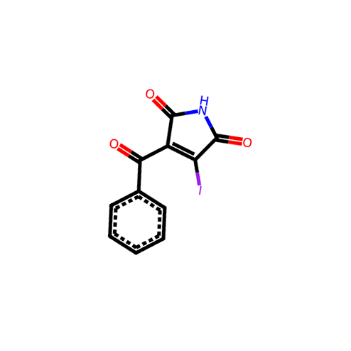 O=C1NC(=O)C(C(=O)c2ccccc2)=C1I